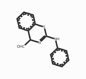 O=CC1N=C(Nc2ccccc2)Sc2ccccc21